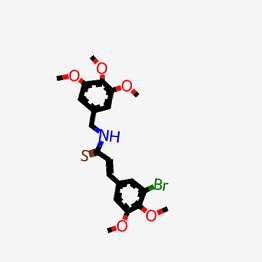 COc1cc(/C=C/C(=S)NCc2cc(OC)c(OC)c(OC)c2)cc(Br)c1OC